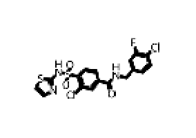 O=C(NCc1ccc(Cl)c(F)c1)c1ccc(S(=O)(=O)Nc2nccs2)c(Cl)c1